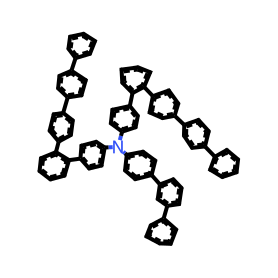 c1ccc(-c2ccc(-c3ccc(-c4ccccc4-c4ccc(N(c5ccc(-c6cccc(-c7ccccc7)c6)cc5)c5ccc(-c6ccccc6-c6ccc(-c7ccc(-c8ccccc8)cc7)cc6)cc5)cc4)cc3)cc2)cc1